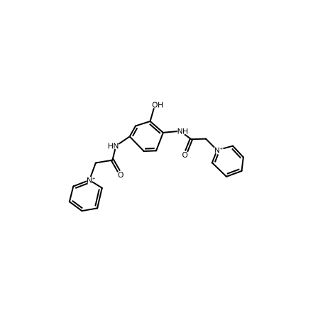 O=C(C[n+]1ccccc1)Nc1ccc(NC(=O)C[n+]2ccccc2)c(O)c1